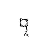 CCCCCC#CC1=CC2=CC3=NC(=CC4=NC(=CC5=NC(=CC1=N2)C=C5)C=C4)C=C3